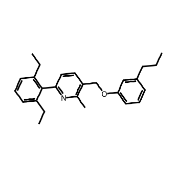 CCCc1cccc(OCc2ccc(-c3c(CC)cccc3CC)nc2C)c1